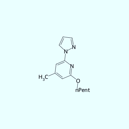 CCCCCOc1cc(C)cc(-n2cccn2)n1